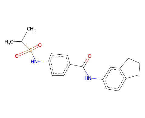 CC(C)S(=O)(=O)Nc1ccc(C(=O)Nc2ccc3c(c2)CCC3)cc1